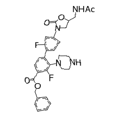 CC(=O)NCC1CN(c2ccc(-c3ccc(C(=O)OCc4ccccc4)c(F)c3N3CCNCC3)c(F)c2)C(=O)O1